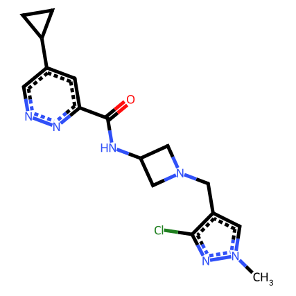 Cn1cc(CN2CC(NC(=O)c3cc(C4CC4)cnn3)C2)c(Cl)n1